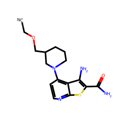 N#CCOCC1CCCN(c2ccnc3sc(C(N)=O)c(N)c23)C1